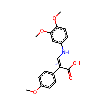 COc1ccc(/C(=C/Nc2ccc(OC)c(OC)c2)C(=O)O)cc1